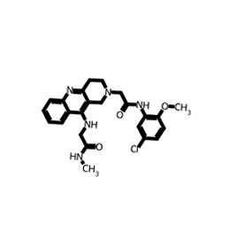 CNC(=O)CNc1c2c(nc3ccccc13)CCN(CC(=O)Nc1cc(Cl)ccc1OC)C2